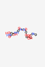 O=C(c1ccc(COc2cccc(C(O)(C(=O)OCC3CCN(Cc4ccccc4)CC3)c3ccccc3)c2)cc1)N1CCC2(CC1)CN(C(=O)c1ccc(CCNC[C@H](O)c3ccc(O)c4[nH]c(=O)ccc34)cc1)C2